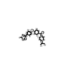 Cc1noc(-c2ccc(O[C@H]3CC[C@H](C(=O)N4CCN(C(C)C)CC4)CC3)cc2)n1